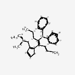 CCCC(C1=C(CN(C)C)C=CC1)=C(CCC)P(c1ccccc1)c1ccccc1